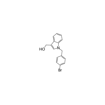 OCc1cn(Cc2ccc(Br)cc2)c2ccccc12